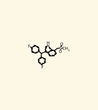 CS(=O)(=O)Cc1cccc2c(C(c3ccc(F)cc3)c3ccc(F)cc3)c[nH]c12